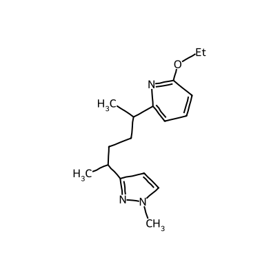 CCOc1cccc(C(C)CCC(C)c2ccn(C)n2)n1